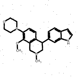 COc1c(N2CCOCC2)ccc2c1CN(C)CC2c1ccc2cc[nH]c2c1